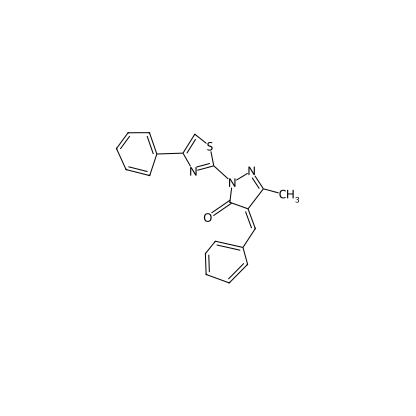 CC1=NN(c2nc(-c3ccccc3)cs2)C(=O)C1=Cc1ccccc1